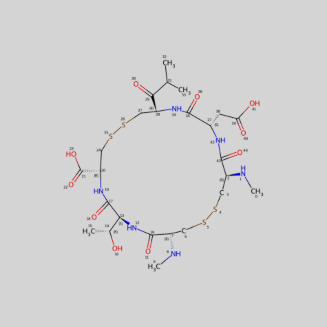 CN[C@H]1CSSC[C@H](NC)C(=O)N[C@@H]([C@@H](C)O)C(=O)N[C@H](C(=O)O)CSSC[C@@H](C(=O)C(C)C)NC(=O)[C@H](CC(=O)O)NC1=O